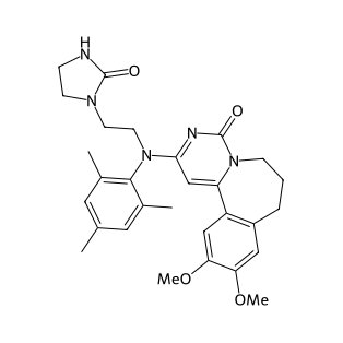 COc1cc2c(cc1OC)-c1cc(N(CCN3CCNC3=O)c3c(C)cc(C)cc3C)nc(=O)n1CCC2